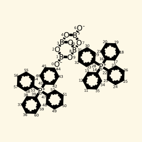 [O-]B1OB2OB([O-])OB(O1)O2.c1ccc([P+](c2ccccc2)(c2ccccc2)c2ccccc2)cc1.c1ccc([P+](c2ccccc2)(c2ccccc2)c2ccccc2)cc1